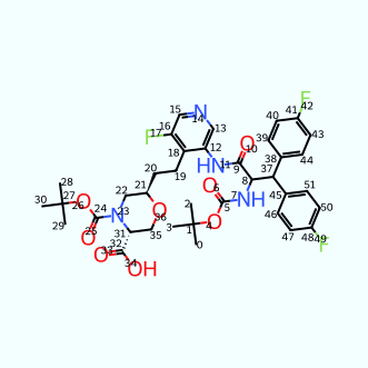 CC(C)(C)OC(=O)NC(C(=O)Nc1cncc(F)c1CC[C@@H]1CN(C(=O)OC(C)(C)C)[C@@H](C(=O)O)CO1)C(c1ccc(F)cc1)c1ccc(F)cc1